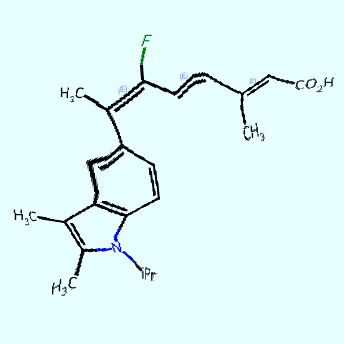 CC(/C=C/C(F)=C(/C)c1ccc2c(c1)c(C)c(C)n2C(C)C)=C\C(=O)O